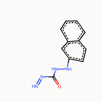 N=NC(=O)NNc1ccc2ccccc2c1